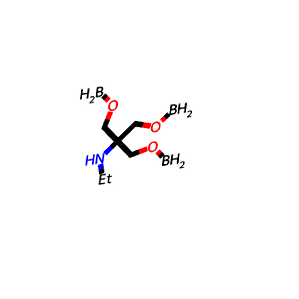 BOCC(COB)(COB)NCC